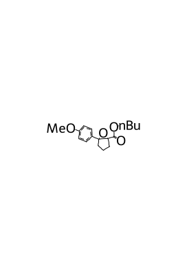 CCCCOC(=O)C12CCCC1(c1ccc(OC)cc1)O2